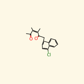 CC(=O)/C(C)=C(/C)C(=O)Cc1ccc(Cl)c2ccccc12